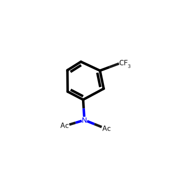 CC(=O)N(C(C)=O)c1cccc(C(F)(F)F)c1